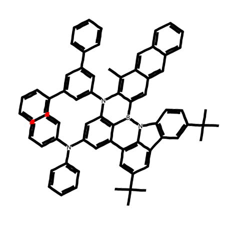 Cc1c2c(cc3cc4ccccc4cc13)B1c3c(cc(N(c4ccccc4)c4ccccc4)cc3N2c2cc(-c3ccccc3)cc(-c3ccccc3)c2)-c2cc(C(C)(C)C)cc3c4cc(C(C)(C)C)ccc4n1c23